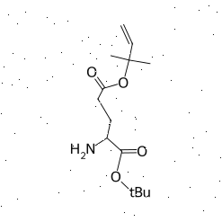 C=CC(C)(C)OC(=O)CCC(N)C(=O)OC(C)(C)C